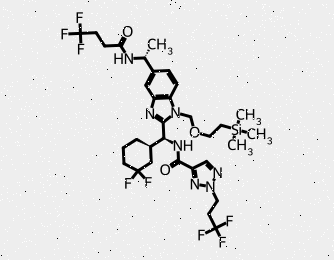 C[C@@H](NC(=O)CCC(F)(F)F)c1ccc2c(c1)nc([C@@H](NC(=O)c1cnn(CCC(F)(F)F)n1)[C@@H]1CCCC(F)(F)C1)n2COCC[Si](C)(C)C